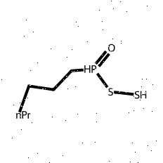 CCCCCC[PH](=O)SS